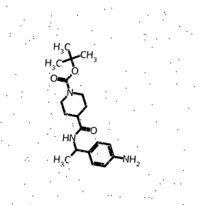 CC(NC(=O)C1CCN(C(=O)OC(C)(C)C)CC1)c1ccc(N)cc1